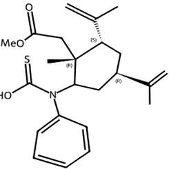 C=C(C)[C@H]1CC(N(C(O)=S)c2ccccc2)[C@](C)(CC(=O)OC)[C@H](C(=C)C)C1